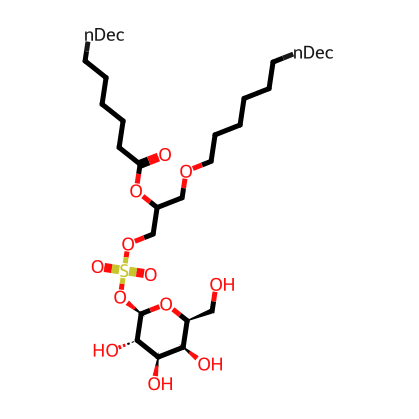 CCCCCCCCCCCCCCCCOCC(COS(=O)(=O)O[C@H]1O[C@@H](CO)[C@@H](O)[C@@H](O)[C@@H]1O)OC(=O)CCCCCCCCCCCCCCC